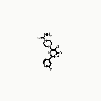 NC(=O)N1CCN(c2nc(-c3ccnc(F)c3)[nH]c(=O)c2Cl)CC1